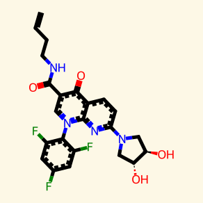 C=CCCNC(=O)c1cn(-c2c(F)cc(F)cc2F)c2nc(N3C[C@@H](O)[C@H](O)C3)ccc2c1=O